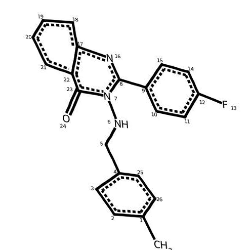 Cc1ccc(CNn2c(-c3ccc(F)cc3)nc3ccccc3c2=O)cc1